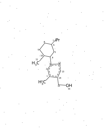 Cc1cc(C2CC(C(C)C)CCC2C)ccc1CO